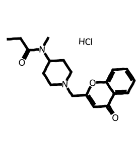 CCC(=O)N(C)C1CCN(Cc2cc(=O)c3ccccc3o2)CC1.Cl